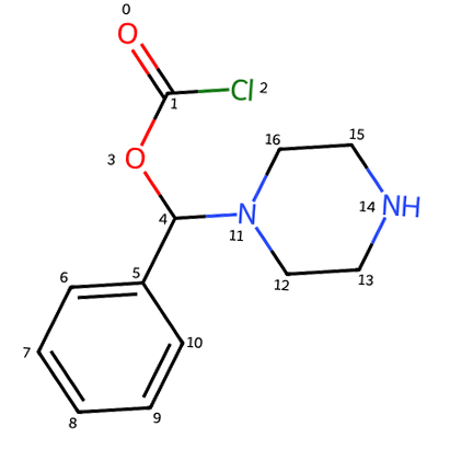 O=C(Cl)OC(c1ccccc1)N1CCNCC1